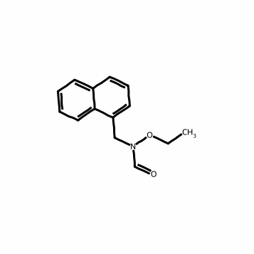 CCON(C=O)Cc1cccc2ccccc12